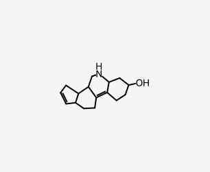 OC1CCC2=C3CCC4C=CCC4C3CNC2C1